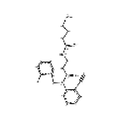 C#Cc1ccccc1N(Cc1ccccc1C)C(=O)CCNC(=O)CCCCCCCCCCCCC